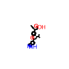 CC#CC(CC(=O)O)c1ccc(OC(CCC(C)C)c2ccc3[nH]ncc3c2)cc1